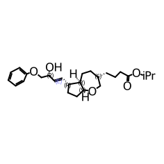 CC(C)OC(=O)CCC[C@H]1CC[C@H]2[C@H](CC[C@@H]2/C=C/[C@@H](O)COc2ccccc2)OC1